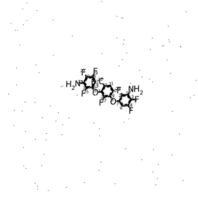 Nc1c(F)c(F)cc(Oc2ccc(C(F)(F)F)c(Oc3cc(F)c(F)c(N)c3F)c2F)c1F